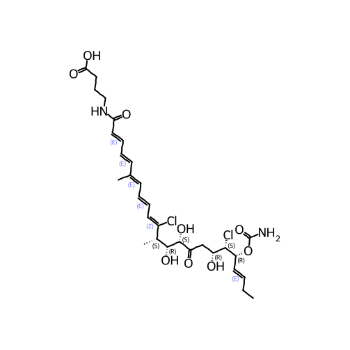 CC/C=C/[C@@H](OC(N)=O)[C@@H](Cl)[C@H](O)CC(=O)[C@@H](O)[C@H](O)[C@H](C)/C(Cl)=C/C=C/C=C(C)/C=C/C=C/C(=O)NCCCC(=O)O